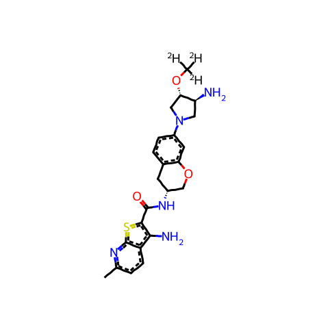 [2H]C([2H])([2H])O[C@H]1CN(c2ccc3c(c2)OC[C@H](NC(=O)c2sc4nc(C)ccc4c2N)C3)C[C@@H]1N